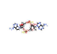 Nc1ncnc2c1ccn2[C@@H]1O[C@@H]2COP(=O)(S)O[C@@H]3[C@@H](COP(=O)(S)O[C@@H]1[C@@H]2O)O[C@H]1C(n2cnc4c(N)ncnc42)[C@]31O